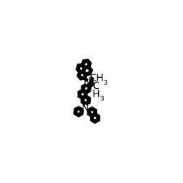 Cc1c(C)n(-c2ccc3ccc4cccc5ccc2c3c45)c2cc3ccc4cc(N(c5ccccc5)c5ccc6ccccc6c5)ccc4c3cc12